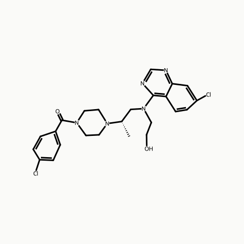 C[C@@H](CN(CCO)c1ncnc2cc(Cl)ccc12)N1CCN(C(=O)c2ccc(Cl)cc2)CC1